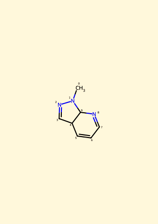 CN1N=CC2C=CC=NC21